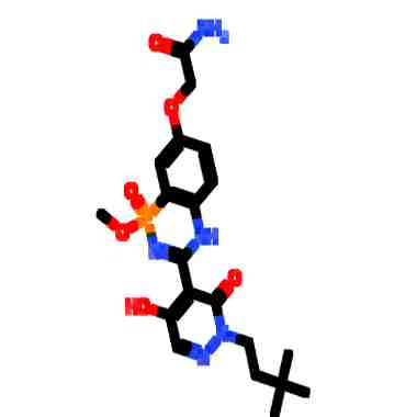 COP1(=O)N=C(c2c(O)cnn(CCC(C)(C)C)c2=O)Nc2ccc(OCC(N)=O)cc21